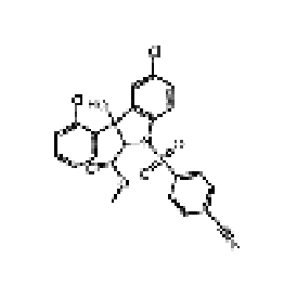 COC(=O)C1N(S(=O)(=O)c2ccc(C#N)cc2)c2ccc(Cl)cc2C1(O)c1ccccc1Cl